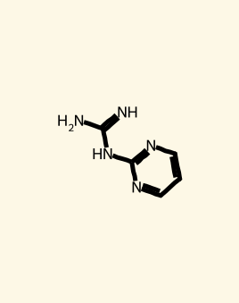 N=C(N)Nc1ncccn1